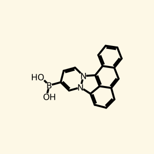 OB(O)C1=CN2c3cccc4cc5ccccc5c(c34)N2C=C1